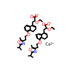 CCOC(CC1=CCCc2c(OCCc3nc(C(C)C)oc3C)cccc21)C(=O)[O-].CCOC(CC1=CCCc2c(OCCc3nc(C(C)C)oc3C)cccc21)C(=O)[O-].[Ca+2]